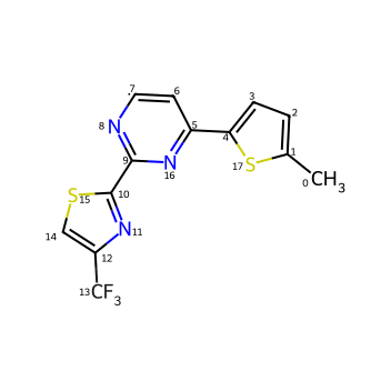 Cc1ccc(-c2c[c]nc(-c3nc(C(F)(F)F)cs3)n2)s1